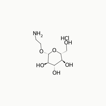 Cl.NCCO[C@@H]1O[C@H](CO)[C@@H](O)[C@H](O)[C@H]1O